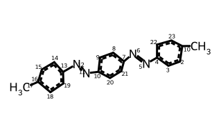 Cc1ccc(/N=N/c2ccc(/N=N/c3ccc(C)cc3)cc2)cc1